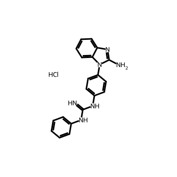 Cl.N=C(Nc1ccccc1)Nc1ccc(-n2c(N)nc3ccccc32)cc1